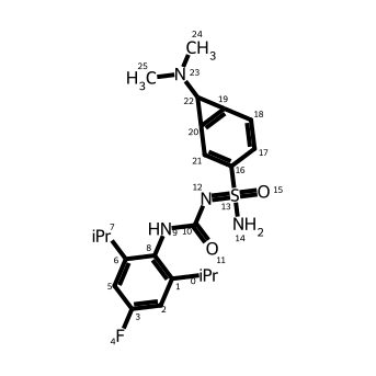 CC(C)c1cc(F)cc(C(C)C)c1NC(=O)N=S(N)(=O)c1ccc2c(c1)C2N(C)C